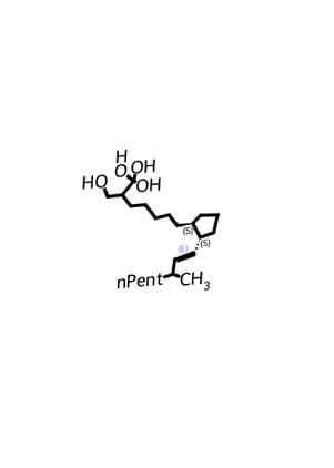 CCCCCC(C)/C=C/[C@H]1CCC[C@@H]1CCCCCC(CO)C(O)(O)O